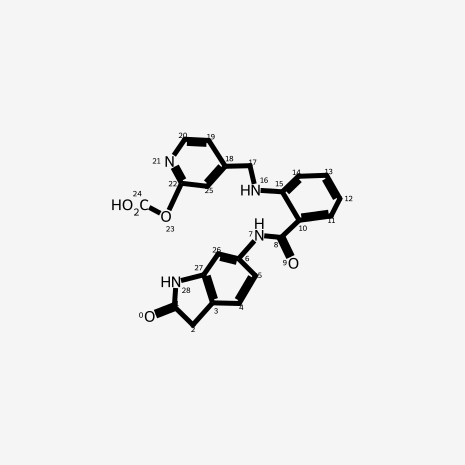 O=C1Cc2ccc(NC(=O)c3ccccc3NCc3ccnc(OC(=O)O)c3)cc2N1